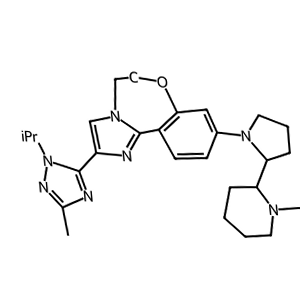 Cc1nc(-c2cn3c(n2)-c2ccc(N4CCCC4C4CCCCN4C)cc2OCC3)n(C(C)C)n1